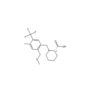 COCc1cc(C)c(C(F)(F)F)cc1CN1CCCC[C@H]1C(=O)O